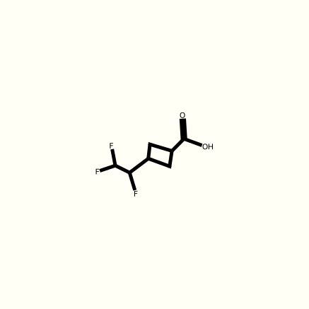 O=C(O)C1CC(C(F)C(F)F)C1